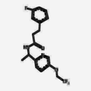 CC(NC(=O)CCc1cccc(F)c1)c1ccc(OCC(F)(F)F)cn1